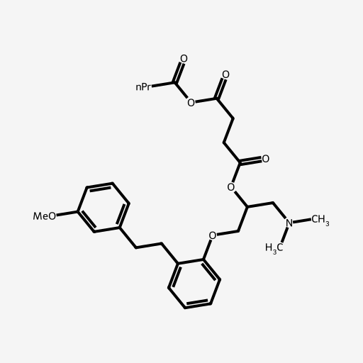 CCCC(=O)OC(=O)CCC(=O)OC(COc1ccccc1CCc1cccc(OC)c1)CN(C)C